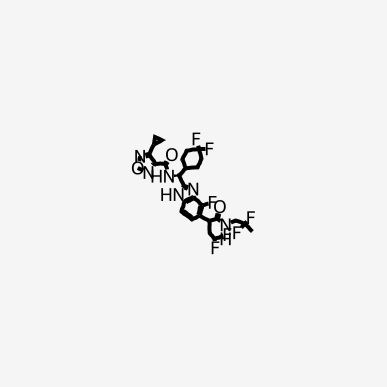 CC(F)(F)CNC(=O)C(CC(F)F)c1ccc2[nH]c([C@@H](NC(=O)c3nonc3C3CC3)C3CCC(F)(F)CC3)nc2c1F